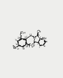 O=C1c2cccnc2C(=O)N1Cc1c(F)cc(Br)cc1F